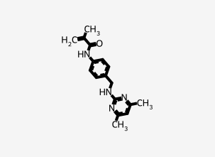 C=C(C)C(=O)Nc1ccc(CNc2nc(C)cc(C)n2)cc1